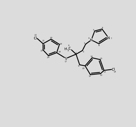 CC(CCn1ccnc1)(Cc1ccc(Cl)cc1)Sc1ccc(Cl)cc1